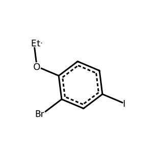 C[CH]Oc1ccc(I)cc1Br